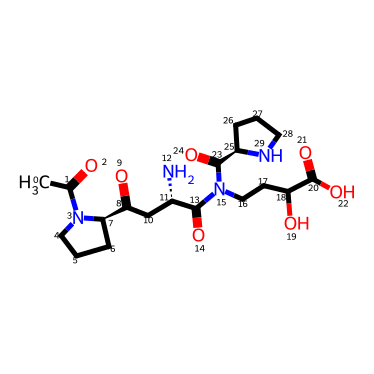 CC(=O)N1CCC[C@@H]1C(=O)C[C@H](N)C(=O)N(CCC(O)C(=O)O)C(=O)[C@H]1CCCN1